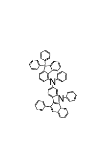 c1ccc(-c2cc3ccccc3c3c2c2ccc(N(c4ccccc4)c4cccc5c4-c4ccccc4C5(c4ccccc4)c4ccccc4)cc2n3-c2ccccc2)cc1